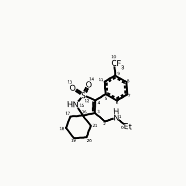 CCNCC1=C(c2cccc(C(F)(F)F)c2)S(=O)(=O)NC12CCCCC2